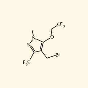 Cn1nc(C(F)(F)F)c(CBr)c1OCC(F)(F)F